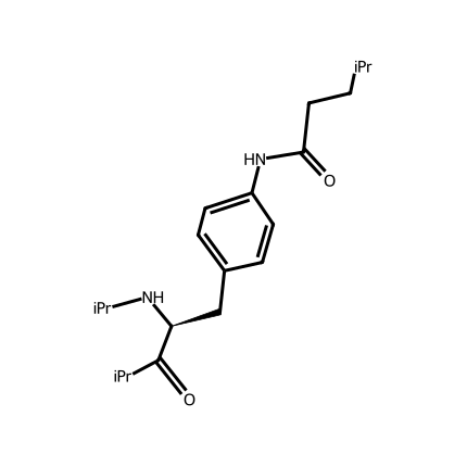 CC(C)CCC(=O)Nc1ccc(C[C@H](NC(C)C)C(=O)C(C)C)cc1